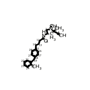 C#CC(C)(C)N(C)CCNC(=O)CCCc1ccc(Cc2ccccc2C)cc1